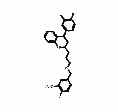 COc1cc(CNCCCC2CC(c3ccc(C)c(C)c3)c3ccccc3O2)ccc1F